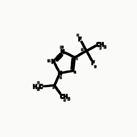 CC(C)n1cc(C(C)(F)F)nn1